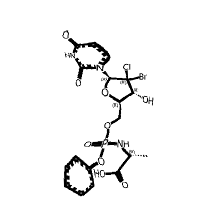 C[C@@H](NP(=O)(OC[C@H]1O[C@@H](n2ccc(=O)[nH]c2=O)[C@](Cl)(Br)[C@@H]1O)Oc1ccccc1)C(=O)O